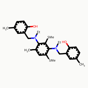 CCN(Cc1cc(C)ccc1O)c1c(C)cc(SC)c(N(CC)Cc2cc(C)ccc2O)c1SC